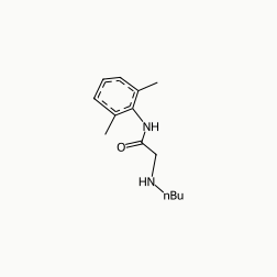 CCCCNCC(=O)Nc1c(C)cccc1C